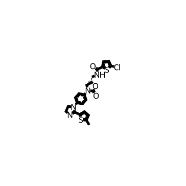 Cc1ccc(C2=NCCN2c2ccc(N3C[C@H](CNC(=O)c4ccc(Cl)s4)OC3=O)cc2)s1